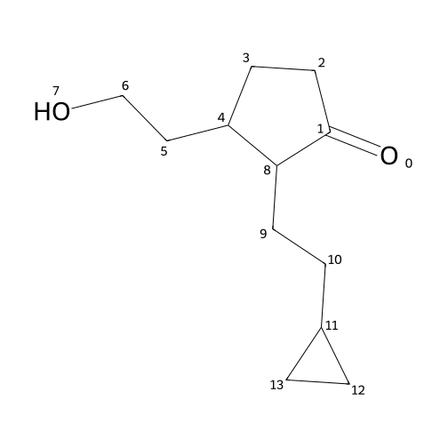 O=C1CCC(CCO)C1CCC1CC1